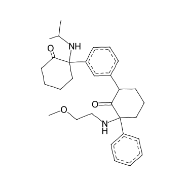 COCCNC1(c2ccccc2)CCCC(c2cccc(C3(NC(C)C)CCCCC3=O)c2)C1=O